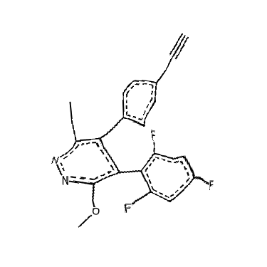 C#Cc1ccc(-c2c(C)nnc(OC)c2-c2c(F)cc(F)cc2F)cc1